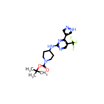 CC(C)(C)OC(=O)N1CCC(Nc2ncc(C(F)(F)F)c(-c3cn[nH]c3)n2)CC1